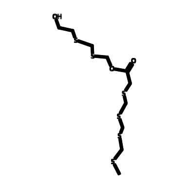 CSCSCSCSCC(=O)OCSCSCCO